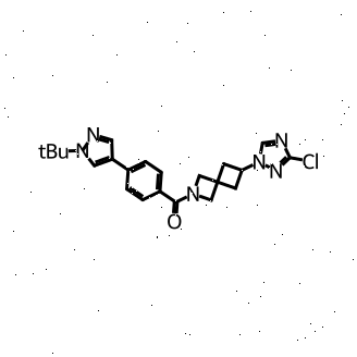 CC(C)(C)n1cc(-c2ccc(C(=O)N3CC4(CC(n5cnc(Cl)n5)C4)C3)cc2)cn1